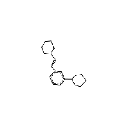 C(=CC1CCCCC1)c1cccc(C2CCCCC2)c1